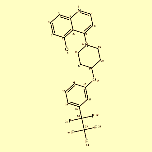 [O]c1cccc2nccc(N3CCC(Oc4cccc(C(F)(F)C(F)(F)F)c4)CC3)c12